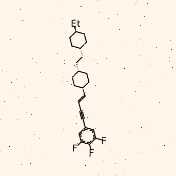 CC[C@H]1CC[C@H](CC[C@H]2CC[C@H](C=CC#Cc3cc(F)c(F)c(F)c3)CC2)CC1